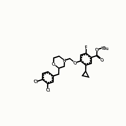 CC(C)(C)OC(=O)c1cc(C2CC2)c(OCN2CCOC(Cc3ccc(Cl)c(Cl)c3)C2)cc1F